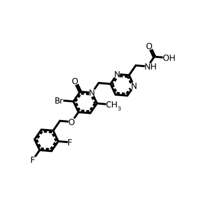 Cc1cc(OCc2ccc(F)cc2F)c(Br)c(=O)n1Cc1ccnc(CNC(=O)O)n1